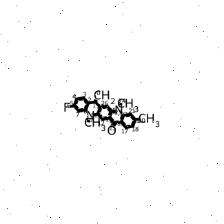 C=C1c2ccc(F)cc2N(C)c2cc3c(=O)c4ccc(C)cc4n(C)c3cc21